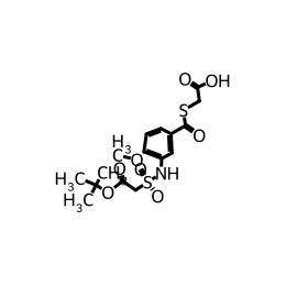 COc1ccc(C(=O)SCC(=O)O)cc1NS(=O)(=O)CC(=O)OC(C)(C)C